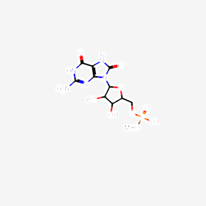 COP(=O)(O)OCC1OC(n2c(=O)[nH]c3c(=O)[nH]c(N)nc32)C(O)C1O